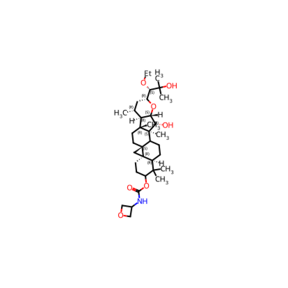 CCO[C@@H]([C@H]1C[C@@H](C)[C@H]2[C@H](O1)[C@H](O)[C@@]1(C)C3CC[C@H]4C(C)(C)C(OC(=O)NC5COC5)CC[C@@]45C[C@@]35CC[C@]21C)C(C)(C)O